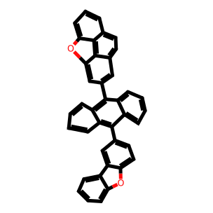 c1ccc2c(c1)oc1ccc(-c3c4ccccc4c(-c4cc5ccc6cccc7oc(c4)c5c67)c4ccccc34)cc12